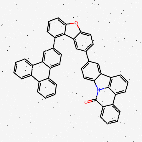 O=c1c2ccccc2c2cccc3c4cc(-c5ccc6oc7cccc(-c8ccc9c%10ccccc%10c%10ccccc%10c9c8)c7c6c5)ccc4n1c23